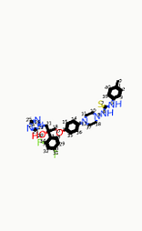 Cc1ccc(NC(=S)NN2CCN(c3ccc(OCC(O)(Cn4cncn4)c4ccc(F)cc4F)cc3)CC2)cc1